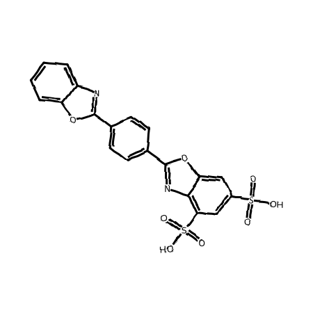 O=S(=O)(O)c1cc(S(=O)(=O)O)c2nc(-c3ccc(-c4nc5ccccc5o4)cc3)oc2c1